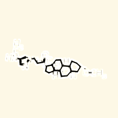 CNc1cnn(CCC(=O)[C@H]2CC[C@H]3[C@@H]4CC[C@@H]5C[C@@H](COC)CC[C@]5(C)[C@H]4CC[C@]23C)c1